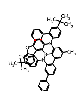 Cc1cc2c3c(c1)N(c1ccc(C(C)(C)C)cc1-c1ccccc1)c1ccc4oc5ccccc5c4c1B3N(c1ccc(C(C)(C)C)cc1)c1cc(-c3ccccc3)ccc1-2